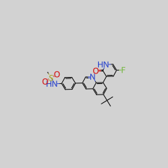 CC(C)(C)c1cc(-c2cc(F)c[nH]c2=O)c2ncc(-c3ccc(NS(C)(=O)=O)cc3)cc2c1